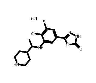 CC(Nc1cc(-c2n[nH]c(=O)o2)cc(F)c1Cl)C1CCNCC1.Cl